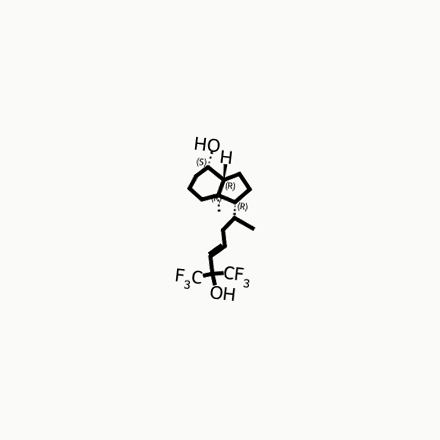 CC(CC=CC(O)(C(F)(F)F)C(F)(F)F)[C@H]1CC[C@H]2[C@@H](O)CCC[C@]12C